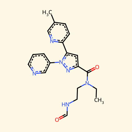 CCN(CCNC=O)C(=O)c1cc(-c2ccc(C)cn2)n(-c2cccnc2)n1